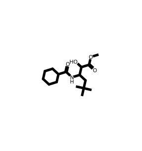 COC(=O)C(O)C(CC(C)(C)C)NC(=O)C1CCCCC1